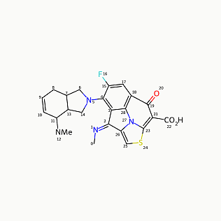 CN=c1c2c(N3CC4CC=CC(NC)C4C3)c(F)cc3c(=O)c(C(=O)O)c4scc1n4c32